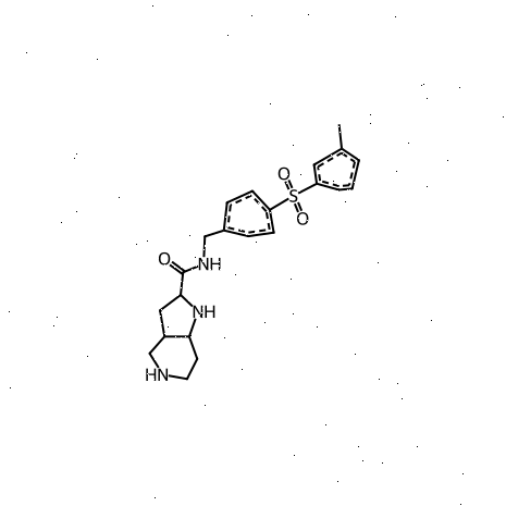 Cc1cccc(S(=O)(=O)c2ccc(CNC(=O)C3CC4CNCCC4N3)cc2)c1